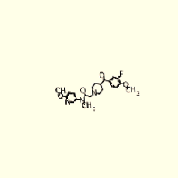 COc1ccc(N(C)C(=O)CN2CCC(C(=O)c3ccc(OC)c(F)c3)CC2)cn1